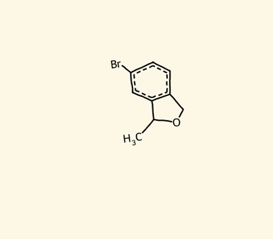 CC1OCc2ccc(Br)cc21